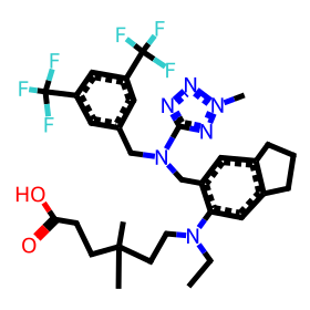 CCN(CCC(C)(C)CCC(=O)O)c1cc2c(cc1CN(Cc1cc(C(F)(F)F)cc(C(F)(F)F)c1)c1nnn(C)n1)CCC2